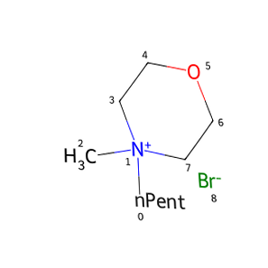 CCCCC[N+]1(C)CCOCC1.[Br-]